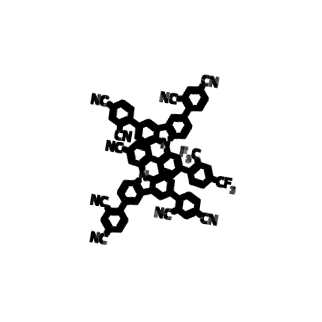 N#Cc1ccc(-c2ccc3c(c2)c2cc(-c4ccc(C#N)cc4C#N)ccc2n3-c2cc(C#N)ccc2-c2ccc(-c3ccc(C(F)(F)F)cc3C(F)(F)F)cc2-n2c3ccc(-c4ccc(C#N)cc4C#N)cc3c3cc(-c4ccc(C#N)cc4C#N)ccc32)c(C#N)c1